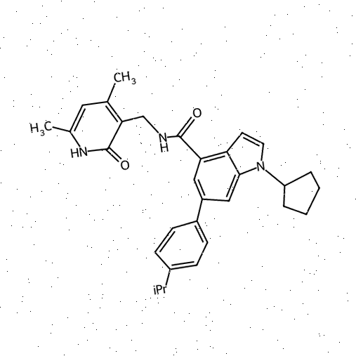 Cc1cc(C)c(CNC(=O)c2cc(-c3ccc(C(C)C)cc3)cc3c2ccn3C2CCCC2)c(=O)[nH]1